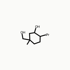 CC(C)C1CCC(C)(CO)CC1O